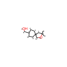 CC1(C)CC2(CCC(CO)CC2)CO1